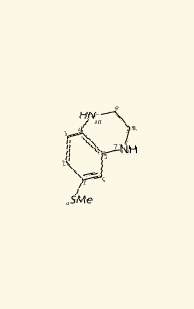 CSc1ccc2c(c1)NCCN2